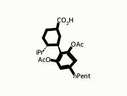 CCCCCc1cc(OC(C)=O)c([C@@H]2CC(C(=O)O)CC[C@H]2C(C)C)c(OC(C)=O)c1